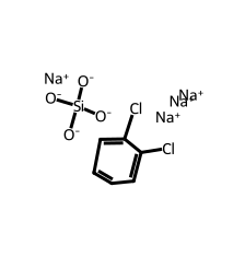 Clc1ccccc1Cl.[Na+].[Na+].[Na+].[Na+].[O-][Si]([O-])([O-])[O-]